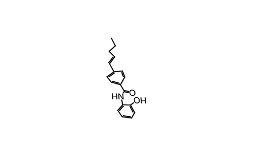 CCC/C=C/c1ccc(C(=O)Nc2ccccc2O)cc1